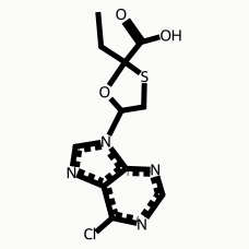 CCC1(C(=O)O)OC(n2cnc3c(Cl)ncnc32)CS1